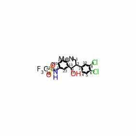 CNCC(c1ccc(Cl)c(Cl)c1)C(O)c1cccc(NS(=O)(=O)C(F)(F)F)c1